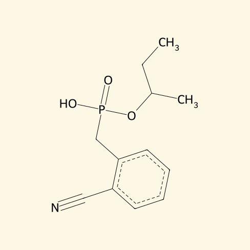 CCC(C)OP(=O)(O)Cc1ccccc1C#N